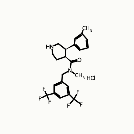 Cc1cccc([C@@H]2CNCC[C@@H]2C(=O)N(C)Cc2cc(C(F)(F)F)cc(C(F)(F)F)c2)c1.Cl